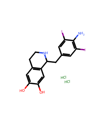 Cl.Cl.Nc1c(I)cc(CC2NCCc3cc(O)c(O)cc32)cc1I